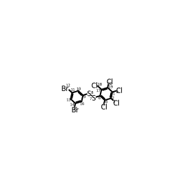 Clc1c(Cl)c(Cl)c(SSc2cc(Br)cc(Br)c2)c(Cl)c1Cl